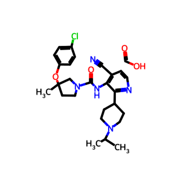 CC(C)N1CCC(c2nccc(C#N)c2NC(=O)N2CCC(C)(Oc3ccc(Cl)cc3)C2)CC1.O=CO